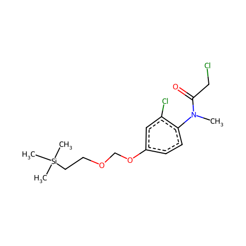 CN(C(=O)CCl)c1ccc(OCOCC[Si](C)(C)C)cc1Cl